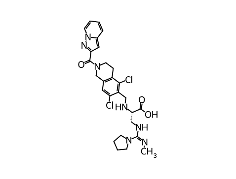 C/N=C(/NC[C@H](NCc1c(Cl)cc2c(c1Cl)CCN(C(=O)c1cc3ccccn3n1)C2)C(=O)O)N1CCCC1